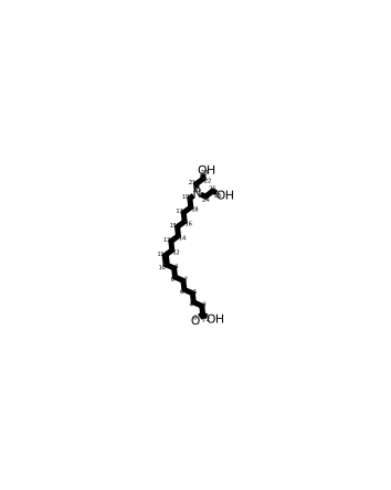 O=C(O)CCCCCCC/C=C\CCCCCCCCN(CCO)CCO